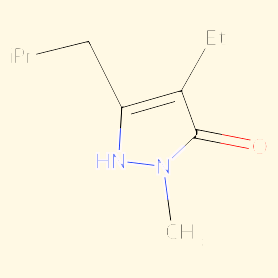 CCc1c(CC(C)C)[nH]n(C)c1=O